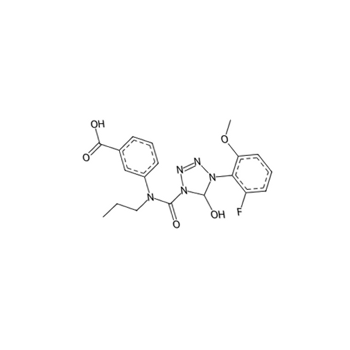 CCCN(C(=O)N1N=NN(c2c(F)cccc2OC)C1O)c1cccc(C(=O)O)c1